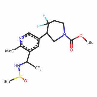 COc1ncc(C2CN(C(=O)OC(C)(C)C)CCC2(F)F)cc1C(N[S+]([O-])C(C)(C)C)C(F)(F)F